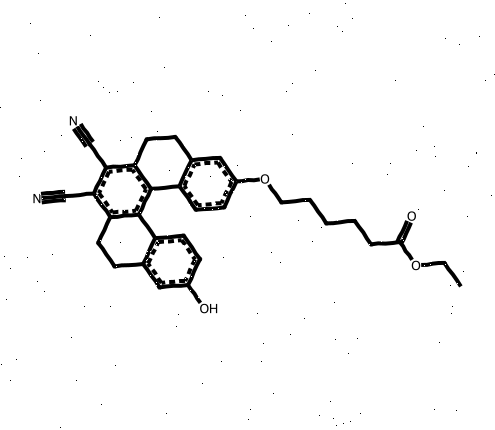 CCOC(=O)CCCCCOc1ccc2c(c1)CCc1c(C#N)c(C#N)c3c(c1-2)-c1ccc(O)cc1CC3